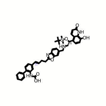 CC(C)(C)[Si](C)(C)O[C@H](CNCc1ccc2nc(CC/C=C/c3ccc(-c4ccccc4)c(NC(=O)O)c3)oc2c1)c1ccc(O)c2[nH]c(=O)ccc12